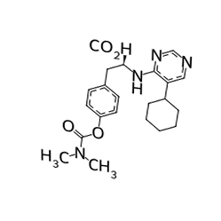 CN(C)C(=O)Oc1ccc(C[C@H](Nc2ncncc2C2CCCCC2)C(=O)O)cc1